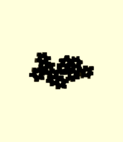 c1ccc(-n2c3ccccc3c3c(-c4nc(-n5c6cc7c8ccccc8n8c9ccccc9c(c6c6ccc9ccccc9c65)c78)nc5ccccc45)cccc32)cc1